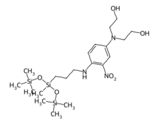 C[Si](C)(C)O[Si](C)(CCCNc1ccc(N(CCO)CCO)cc1[N+](=O)[O-])O[Si](C)(C)C